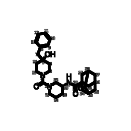 O=C(N1CCC(O)(Cc2ccccc2)CC1)N1CCC[C@H](NC(=O)C23CC4CC(C2)C(O)C(C4)C3)C1